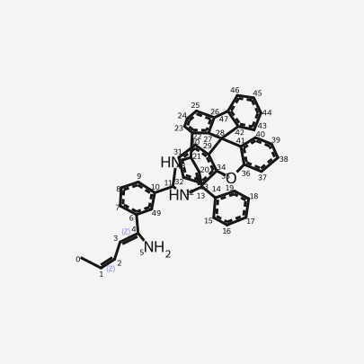 C/C=C\C=C(/N)c1cccc(C2NC(c3ccccc3)=CC(c3cccc4c3C3(c5ccccc5Oc5ccccc53)c3ccccc3-4)N2)c1